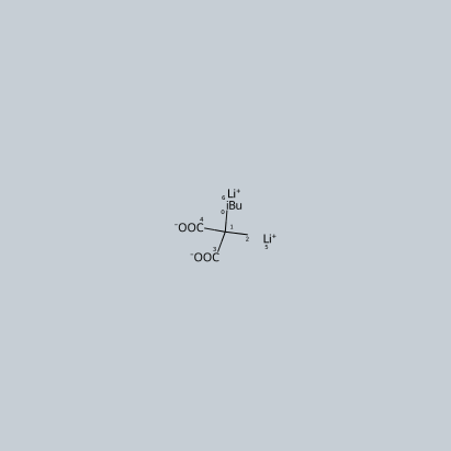 CCC(C)C(C)(C(=O)[O-])C(=O)[O-].[Li+].[Li+]